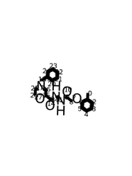 Cc1ccccc1OCC(=O)NNC(=O)C1CN(Cc2ccccc2)CCO1